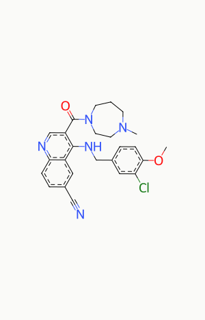 COc1ccc(CNc2c(C(=O)N3CCCN(C)CC3)cnc3ccc(C#N)cc23)cc1Cl